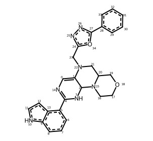 C1=C2C(NC(c3cccc4[nH]ccc34)=N1)N1CCOCC1CN2Cc1nnc(-c2ccccc2)o1